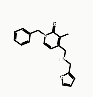 Cc1c(CNCc2ccco2)ccn(Cc2ccccc2)c1=O